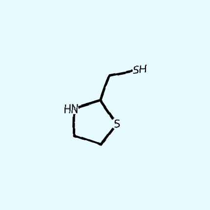 SCC1NCCS1